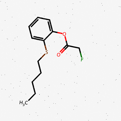 CCCCCSc1ccccc1OC(=O)CF